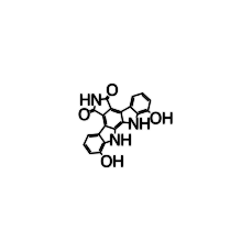 O=C1NC(=O)c2c1c1c3cccc(O)c3[nH]c1c1[nH]c3c(O)cccc3c21